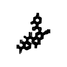 Cc1nc(N[C@H](C)c2cccc(C(F)F)c2F)c2cc(OC(=O)N3CCN(C)CC3C)c(C#N)cc2n1